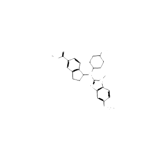 CCCCOC(=O)c1ccc2c(c1)CCC2N(c1nc2cc(OC)ccc2n1C)C1CCC(C(C)(C)C)CC1